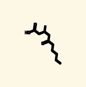 CCCCCC(=O)CC(C)CC(=O)O